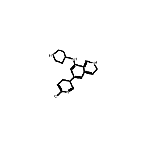 ClC1=CCC(c2cc(NC3CCNCC3)c3c(c2)=CCNC=3)C=N1